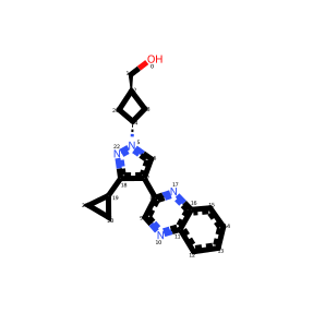 OC[C@H]1C[C@H](n2cc(-c3cnc4ccccc4n3)c(C3CC3)n2)C1